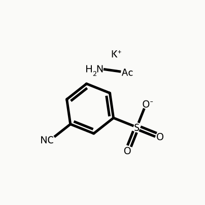 CC(N)=O.N#Cc1cccc(S(=O)(=O)[O-])c1.[K+]